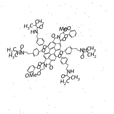 C=C(C)C(=O)NCCc1ccc(Oc2cc3c4c(cc(Oc5ccc(CCNC(=O)C(=C)C)cc5)c5c6c(Oc7ccc(CCNC(=O)C(=C)C)cc7)cc7c8c(cc(Oc9ccc(CCNC(=O)C(=C)C)cc9)c(c2c45)c86)C(=O)N(CC(=O)Oc2ccccc2OC)C7=O)C(=O)N(CC(=O)Oc2ccccc2OC)C3=O)cc1